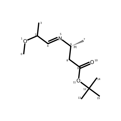 COC(C)C=N[C@H](C)CC(=O)OC(C)(C)C